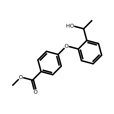 COC(=O)c1ccc(Oc2ccccc2C(C)O)cc1